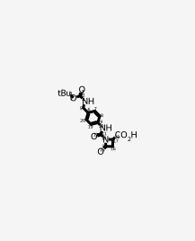 CC(C)(C)OC(=O)NCc1ccc(NC(=O)N2C(=O)CC2C(=O)O)cc1